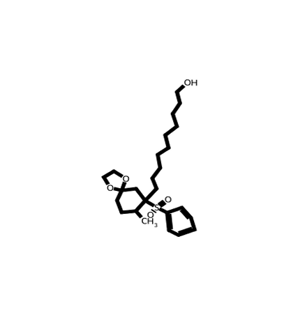 CC1CCC2(CC1(CCCCCCCCCCO)S(=O)(=O)c1ccccc1)OCCO2